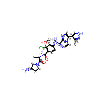 CC(NC(=O)c1ccc(Nc2nccn3c(-c4c[nH]nc4C(F)(F)F)cnc23)cc1Cl)C(=O)N1CC[C@H](N)C1.O=CO